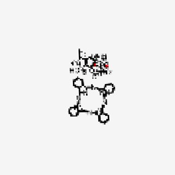 Nc1ccc([N+](S(=O)(=O)[O-])(S(=O)(=O)[O-])S(=O)(=O)S(=O)(=O)O)cc1S(=O)(=O)O.[Cu].c1ccc2c(c1)-c1nc-2nc2[nH]c(nc3nc(nc4[nH]c(n1)c1ccccc41)-c1ccccc1-3)c1ccccc21